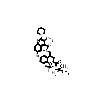 Cc1c(N2CCCCC2)nc2ccc(Br)cc2c1C(=O)NCC(CCC(=O)OC(C)(C)C)c1ccccc1OC(F)(F)F